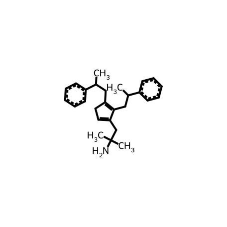 CC(CC1=C(CC(C)c2ccccc2)C(CC(C)(C)N)=CC1)c1ccccc1